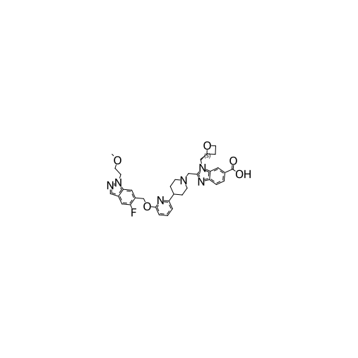 COCCn1ncc2cc(F)c(COc3cccc(C4CCN(Cc5nc6ccc(C(=O)O)cc6n5C[C@@H]5CCO5)CC4)n3)cc21